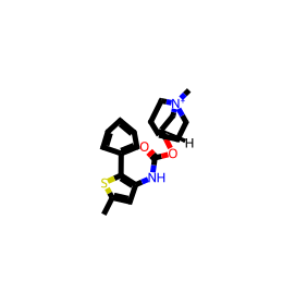 Cc1cc(NC(=O)O[C@H]2C[N+]3(C)CCC2CC3)c(-c2ccccc2)s1